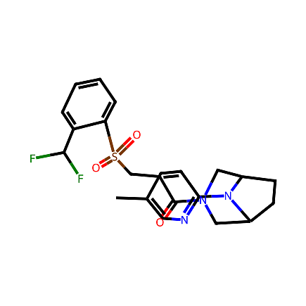 Cc1ccc(N2C3CCC2CN(C(=O)CCS(=O)(=O)c2ccccc2C(F)F)C3)nc1